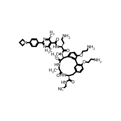 Cc1nc(-c2ccc(N3CCC3)cc2)nc(C)c1C(=O)N[C@@H](CCN)C(=O)N(C)[C@@H]1C(=O)N[C@@H](C)C(=O)N[C@H](C(=O)NCC#N)Cc2ccc(OCCN)c(c2)-c2cc1ccc2OCCN